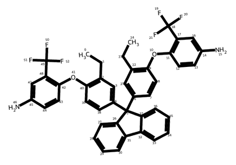 CCc1cc(C2(c3ccc(Oc4ccc(N)cc4C(F)(F)F)c(CC)c3)c3ccccc3-c3ccccc32)ccc1Oc1ccc(N)cc1C(F)(F)F